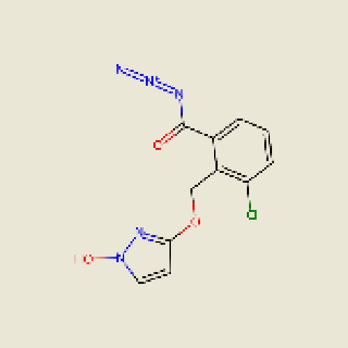 [N-]=[N+]=NC(=O)c1cccc(Cl)c1COc1ccn(O)n1